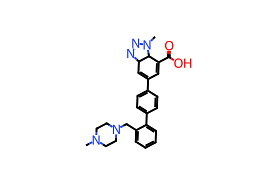 CN1CCN(Cc2ccccc2-c2ccc(C3=CC4N=NN(C)C4C(C(=O)O)=C3)cc2)CC1